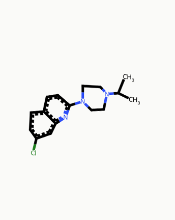 CC(C)N1CCN(c2ccc3ccc(Cl)cc3n2)CC1